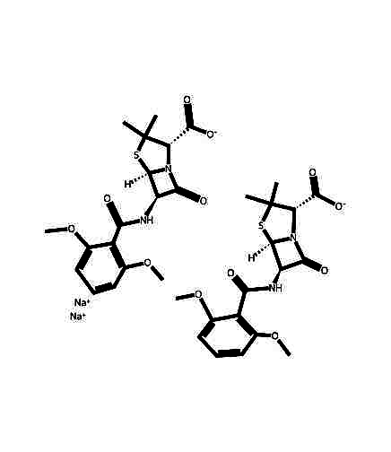 COc1cccc(OC)c1C(=O)N[C@@H]1C(=O)N2[C@@H]1SC(C)(C)[C@@H]2C(=O)[O-].COc1cccc(OC)c1C(=O)N[C@@H]1C(=O)N2[C@@H]1SC(C)(C)[C@@H]2C(=O)[O-].[Na+].[Na+]